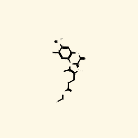 CCOC(=O)CCc1nc2c(=O)[nH]c3cc([N+](=O)[O-])c(Cl)cc3n2c1C